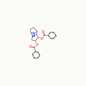 O=C(OC1CC2C3CCC(N3)C2C1OC(=O)c1ccccc1)c1ccccc1